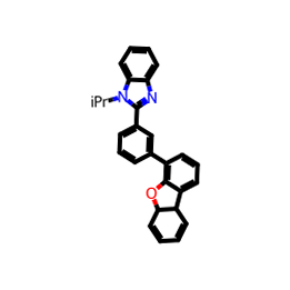 CC(C)n1c(-c2cccc(-c3cccc4c3OC3C=CC=CC43)c2)nc2ccccc21